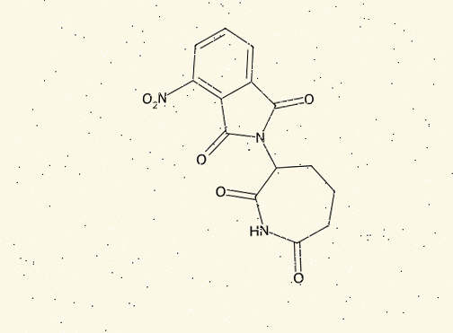 O=C1CCCC(N2C(=O)c3cccc([N+](=O)[O-])c3C2=O)C(=O)N1